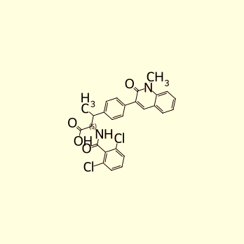 CC(c1ccc(-c2cc3ccccc3n(C)c2=O)cc1)[C@H](NC(=O)c1c(Cl)cccc1Cl)C(=O)O